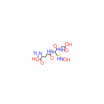 NC(CCC(=O)NC(CSNO)C(=O)NCC(=O)O)C(=O)O